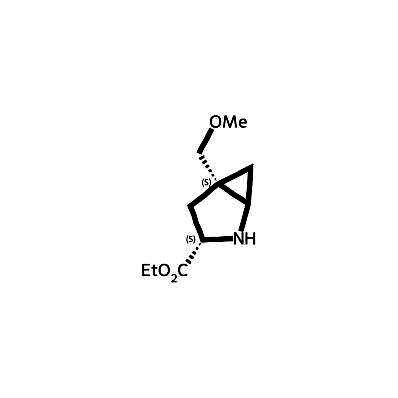 CCOC(=O)[C@@H]1C[C@@]2(COC)CC2N1